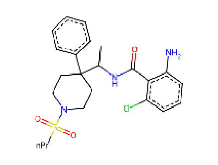 CCCS(=O)(=O)N1CCC(c2ccccc2)(C(C)NC(=O)c2c(N)cccc2Cl)CC1